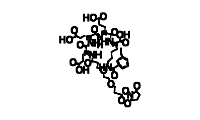 O=C(O)CC[C@@H](NC(=O)CCOCCOCCC(=O)ON1C(=O)CCC1=O)C(=O)N[C@H](CCC(=O)O)C(=O)N[C@H](CCC(=O)O)C(=O)N[C@H](CCCCNC(=O)c1cccc(I)c1)C(=O)O